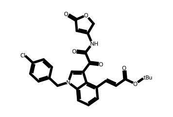 CC(C)(C)OC(=O)/C=C/c1cccc2c1c(C(=O)C(=O)NC1=CC(=O)OC1)cn2Cc1ccc(Cl)cc1